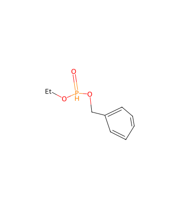 CCO[PH](=O)OCc1ccccc1